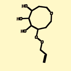 C=CCOOC1CCOCCC(O)C(O)C1O